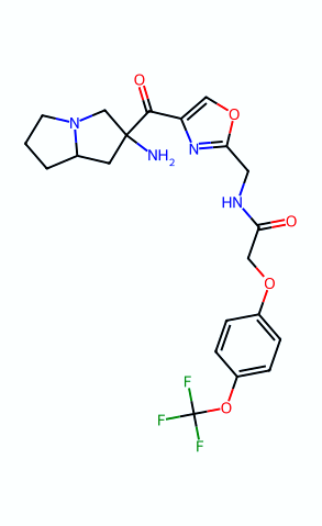 NC1(C(=O)c2coc(CNC(=O)COc3ccc(OC(F)(F)F)cc3)n2)CC2CCCN2C1